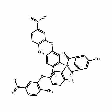 Cc1ccc([N+](=O)[O-])cc1Oc1ccc(C)c([N+]2(c3cc(Oc4cc([N+](=O)[O-])ccc4C)ccc3C)C(=O)c3cc(O)cc(c3)C2=O)c1